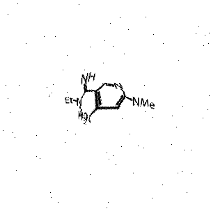 CCN(C(=N)c1cnc(NC)cc1N)C(C)=O